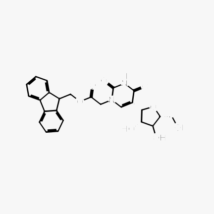 O=C(Cn1cc([C@@H]2O[C@H](CO)C(O)[C@@H]2O)c(=O)[nH]c1=O)OCC1c2ccccc2-c2ccccc21